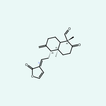 C=C1CCC2[C@](C)(C=O)C(=O)CC[C@@]2(C)[C@@H]1C/C=C1\C=COC1=O